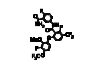 COc1c(Oc2ccc(C(F)(F)F)c(F)c2C(=O)Nc2ccc(F)c(C(N)=O)c2)ccc(OC(F)(F)F)c1F